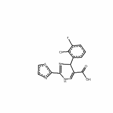 O=C(O)C1=CNC(c2nccs2)=NC1c1cccc(F)c1Cl